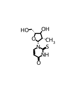 C[C@H]1C(O)[C@@H](CO)O[C@H]1n1ccc(=O)[nH]c1=S